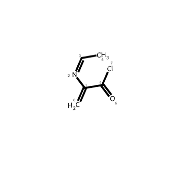 C=C(/N=C\C)C(=O)Cl